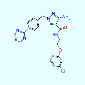 Nc1nn(Cc2ccc(-c3ncccn3)cc2)cc1C(=O)NCCOc1cccc(Cl)c1